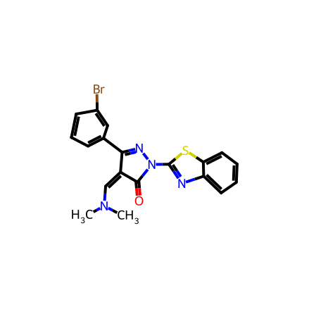 CN(C)C=C1C(=O)N(c2nc3ccccc3s2)N=C1c1cccc(Br)c1